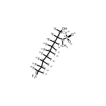 CN(C(F)(C(O)(F)F)C(F)(F)C(F)(F)C(F)(F)C(F)(F)C(F)(F)C(F)(F)C(F)(F)C(F)(F)F)S(=O)(=O)F